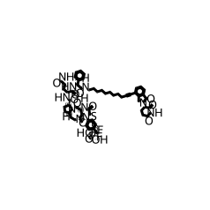 CN1CC[C@H]2CC[C@@H](C(=O)NC(CCC(N)=O)C(=O)NC(C(=O)NCCCCCCCCCC#Cc3cccc4c3CN(C3CCC(=O)NC3=O)C4=O)c3ccccc3)N2C(=O)[C@@H](NC(=O)c2nc3ccc(C(F)(F)P(=O)(O)O)cc3s2)C1